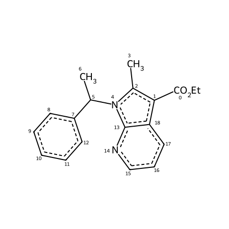 CCOC(=O)c1c(C)n(C(C)c2ccccc2)c2ncccc12